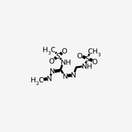 C=N/N=C(\N=N/CNS(C)(=O)=O)NS(C)(=O)=O